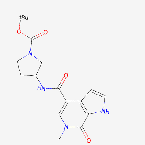 Cn1cc(C(=O)NC2CCN(C(=O)OC(C)(C)C)C2)c2cc[nH]c2c1=O